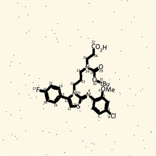 COc1cc(Cl)ccc1N=c1scc(-c2ccc(F)cc2)n1CCCN(CCC(=O)O)C(=O)OC(C)(C)C